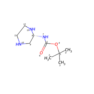 CC(C)(C)OC(=O)N[C@@H]1CNCCN1